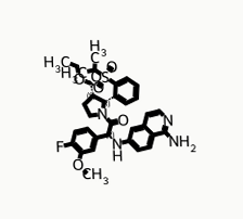 CCOC(=O)[C@H]1CCN(C(=O)[C@H](Nc2ccc3c(N)nccc3c2)c2ccc(F)c(OC)c2)[C@H]1c1ccccc1S(=O)(=O)C(C)C